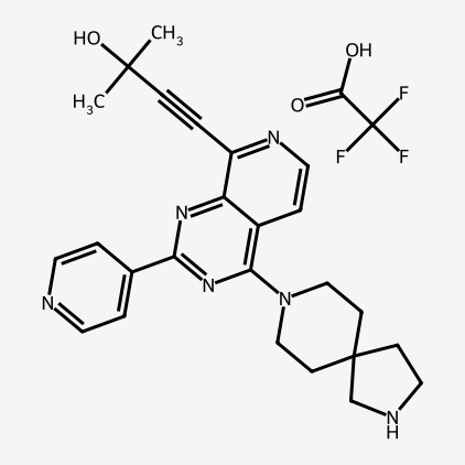 CC(C)(O)C#Cc1nccc2c(N3CCC4(CCNC4)CC3)nc(-c3ccncc3)nc12.O=C(O)C(F)(F)F